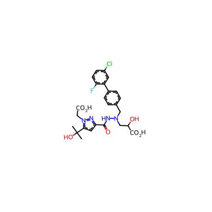 CC(C)(O)c1cc(C(=O)NN(Cc2ccc(-c3cc(Cl)ccc3F)cc2)CC(O)C(=O)O)nn1CC(=O)O